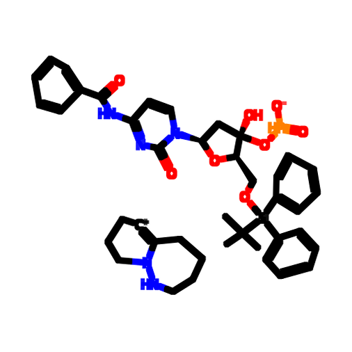 CC(C)(C)[Si](OC[C@H]1O[C@@H](n2ccc(NC(=O)c3ccccc3)nc2=O)C[C@]1(O)O[PH](=O)[O-])(c1ccccc1)c1ccccc1.[C+]1=C2CCCCNN2CCC1